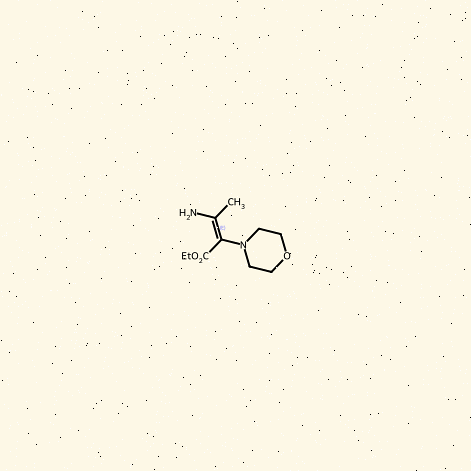 CCOC(=O)/C(=C(/C)N)N1CCOCC1